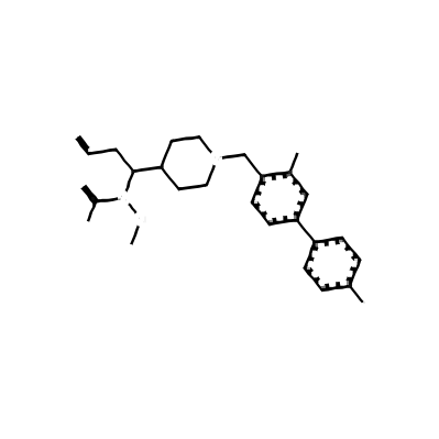 CNN(C(=O)O)C(CC=O)C1CCN(Cc2ccc(-c3ccc(F)cc3)cc2Cl)CC1